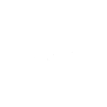 CC1(C)c2cc(C(=O)Cl)ccc2Oc2ccc(C(=O)Cl)cc21